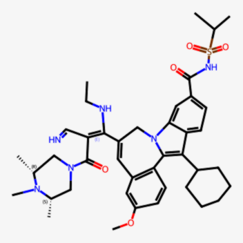 CCN/C(C1=Cc2cc(OC)ccc2-c2c(C3CCCCC3)c3ccc(C(=O)NS(=O)(=O)C(C)C)cc3n2C1)=C(\C=N)C(=O)N1C[C@@H](C)N(C)[C@@H](C)C1